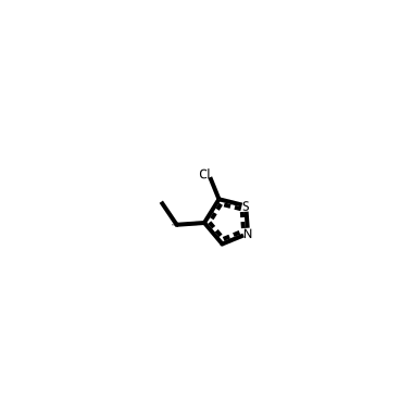 C[CH]c1cnsc1Cl